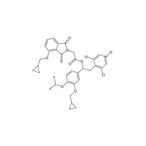 O=C(CN1C(=O)c2cccc(OCC3CC3)c2C1=O)OC(Cc1c(Cl)c[n+]([O-])cc1Cl)c1ccc(OC(F)F)c(OCC2CC2)c1